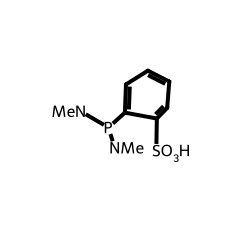 CNP(NC)c1ccccc1S(=O)(=O)O